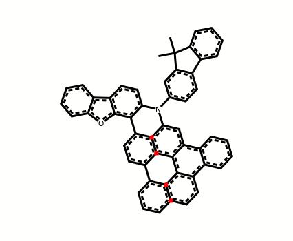 CC1(C)c2ccccc2-c2ccc(N(c3ccc4c5ccccc5c5ccccc5c4c3)c3ccc4c(oc5ccccc54)c3-c3ccc(-c4ccccc4)cc3)cc21